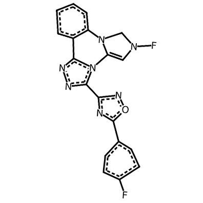 Fc1ccc(-c2nc(-c3nnc4n3C3=CN(F)CN3c3ccccc3-4)no2)cc1